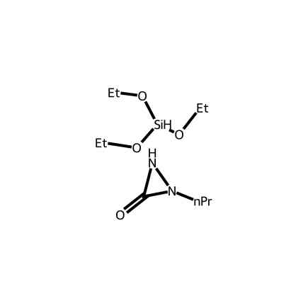 CCCN1NC1=O.CCO[SiH](OCC)OCC